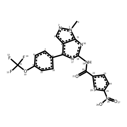 Cn1ncc2c(-c3ccc(OC(F)(F)F)cc3)nc(NC(=O)c3ccc([N+](=O)[O-])s3)nc21